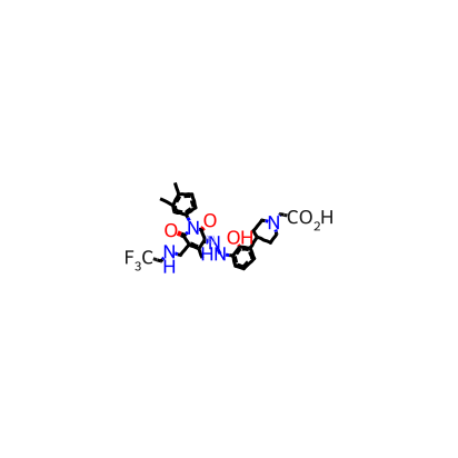 CC1=C(CNCC(F)(F)F)C(=O)N(c2ccc(C)c(C)c2)C(=O)/C1=N/Nc1cccc(C2CCN(CC(=O)O)CC2)c1O